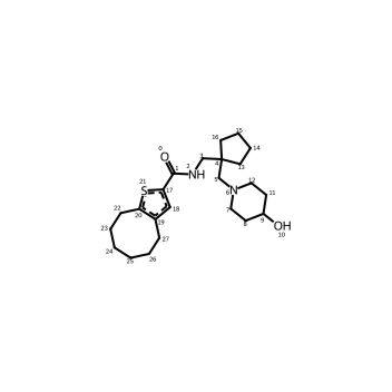 O=C(NCC1(CN2CCC(O)CC2)CCCC1)c1cc2c(s1)CCCCCC2